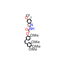 COc1ccc(/C=C\c2cc(OC)c(OC)c(OC)c2)cc1OCC(=O)Nc1nc2ccc(OC(F)(F)F)cc2s1